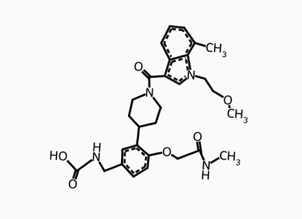 CNC(=O)COc1ccc(CNC(=O)O)cc1C1CCN(C(=O)c2cn(CCOC)c3c(C)cccc23)CC1